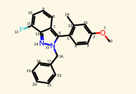 COc1ccc(-c2c3cccc(F)c3nn2Cc2ccccc2)c(C)c1